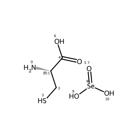 N[C@@H](CS)C(=O)O.O=[Se](O)O